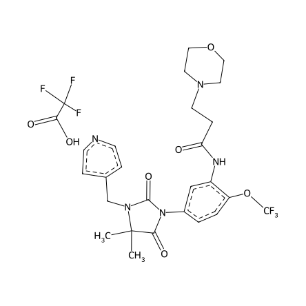 CC1(C)C(=O)N(c2ccc(OC(F)(F)F)c(NC(=O)CCN3CCOCC3)c2)C(=O)N1Cc1ccncc1.O=C(O)C(F)(F)F